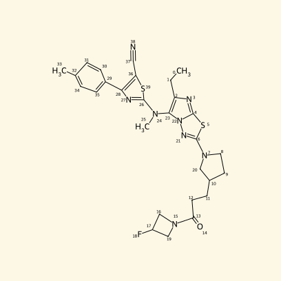 CCc1nc2sc(N3CCC(CCC(=O)N4CC(F)C4)C3)nn2c1N(C)c1nc(-c2ccc(C)cc2)c(C#N)s1